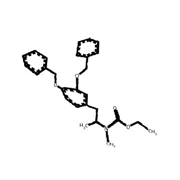 CCOC(=O)N(C)C(C)Cc1ccc(OCc2ccccc2)c(OCc2ccccc2)c1